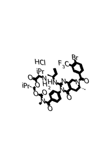 C=C[C@H](C)Nc1nc2c(c(=O)n1-c1ccc(C(=O)N(C)C(=O)O[C@@H](OC(=O)[C@@H](N)C(C)C)C(C)C)cc1)C[C@@H](C)N(C(=O)c1ccc(Br)c(C(F)(F)F)c1)C2.Cl